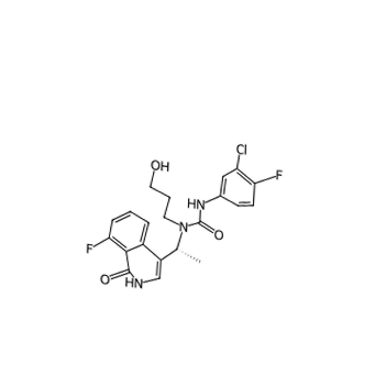 C[C@H](c1c[nH]c(=O)c2c(F)cccc12)N(CCCO)C(=O)Nc1ccc(F)c(Cl)c1